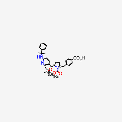 CC(C)(C)OC(=O)N1[C@H](Cc2ccc(C(=O)O)cc2)CC[C@@H]1C(O[Si](C)(C)C(C)(C)C)c1ccc(NC(C)(C)c2ccccc2)nc1